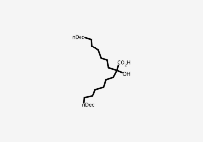 CCCCCCCCCCCCCCCCC(O)(CCCCCCCCCCCCCCCC)C(=O)O